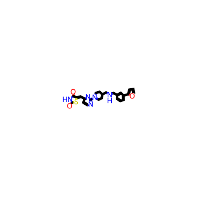 O=C1NC(=O)/C(=C/c2ccnc(N3CCC(CNCc4cccc(-c5ccco5)c4)CC3)n2)S1